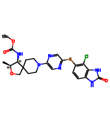 C[C@@H]1OCC2(CCN(c3cnc(Sc4ccc5[nH]c(=O)[nH]c5c4Cl)cn3)CC2)[C@@H]1NC(=O)OC(C)(C)C